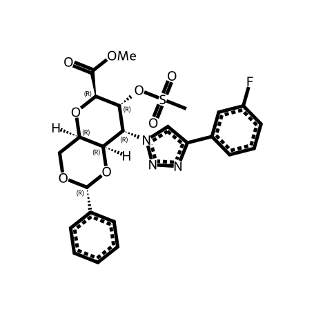 COC(=O)[C@@H]1O[C@@H]2CO[C@@H](c3ccccc3)O[C@@H]2[C@@H](n2cc(-c3cccc(F)c3)nn2)[C@H]1OS(C)(=O)=O